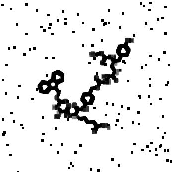 CC(C)[C@H](NC(=O)OCC1c2ccccc2-c2ccccc21)C(=O)N[C@@H](CCCCC(N)=O)C(=O)Nc1ccc(COC(=O)NNC(=O)[C@@H](C)C[C@H](Cc2ccc(O)cc2)NC(=O)OC(C)(C)C)cc1